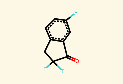 O=C1c2cc(F)ccc2CC1(F)F